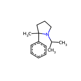 CC(C)N1CCCC1(C)c1ccccc1